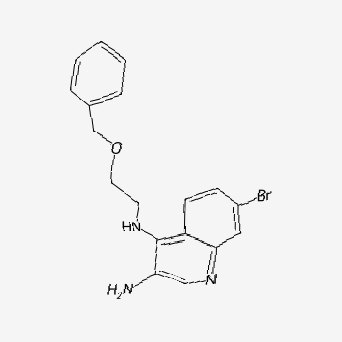 Nc1cnc2cc(Br)ccc2c1NCCOCc1ccccc1